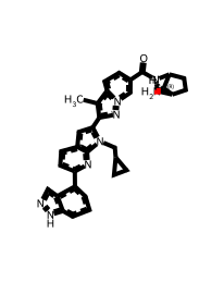 Cc1c(-c2cc3ccc(-c4cccc5[nH]ncc45)nc3n2CC2CC2)nn2cc(C(=O)N3CC4CCC3[C@@H]4N)ccc12